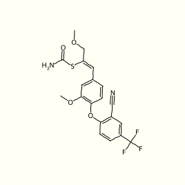 COC/C(=C/c1ccc(Oc2ccc(C(F)(F)F)cc2C#N)c(OC)c1)SC(N)=O